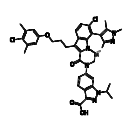 Cc1cc(OCCCc2c3n(c4c(-c5c(C)nn(C)c5C)c(Cl)ccc24)[C@H](C)CN(c2ccc4c(C(=O)O)nn(C(C)C)c4c2)C3=O)cc(C)c1Cl